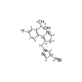 CC(O)c1cc(F)ccc1-c1ncsc1Cn1cc(C#N)cn1